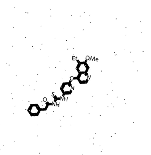 CCc1cc2c(Oc3ccc(NC(=S)NC(=O)Cc4ccccc4)cn3)ccnc2cc1OC